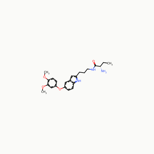 CC[C@H](N)C(=O)NCCCc1cc2cc(Oc3ccc(OC)c(OC)c3)ccc2[nH]1